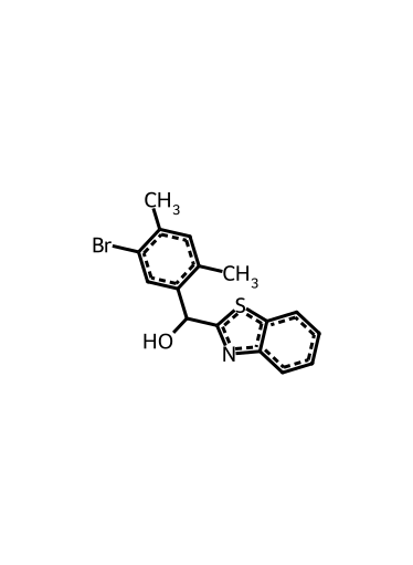 Cc1cc(C)c(C(O)c2nc3ccccc3s2)cc1Br